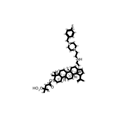 C=C(C)C1CC[C@]2(CCNCCN3CCN(Cc4ccc(F)cc4)CC3)CC[C@]3(C)[C@H](CC[C@@H]4[C@@]5(C)CC[C@H](OC(=O)CC(C)(C)C(=O)O)C(C)(C)[C@@H]5CC[C@]43C)[C@@H]12